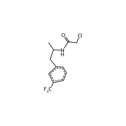 CC(Cc1cccc(C(F)(F)F)c1)NC(=O)CCl